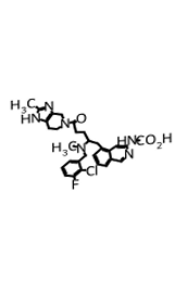 Cc1nc2c([nH]1)CCN(C(=O)CCC(Cc1cccc3cnc(NC(=O)O)cc13)N(C)Cc1cccc(F)c1Cl)C2